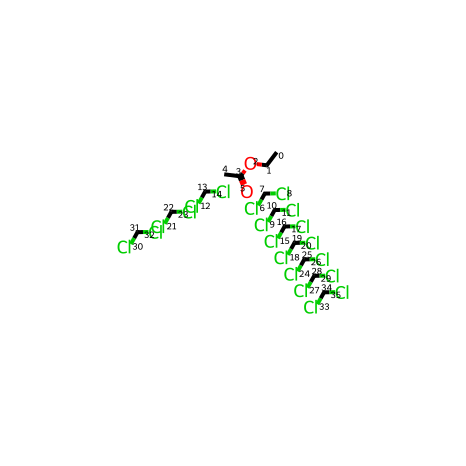 CCOC(C)=O.ClCCl.ClCCl.ClCCl.ClCCl.ClCCl.ClCCl.ClCCl.ClCCl.ClCCl.ClCCl